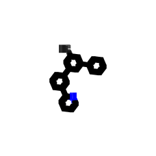 N#Cc1cc(-c2ccccc2)cc(-c2cccc(-c3ccccn3)c2)c1